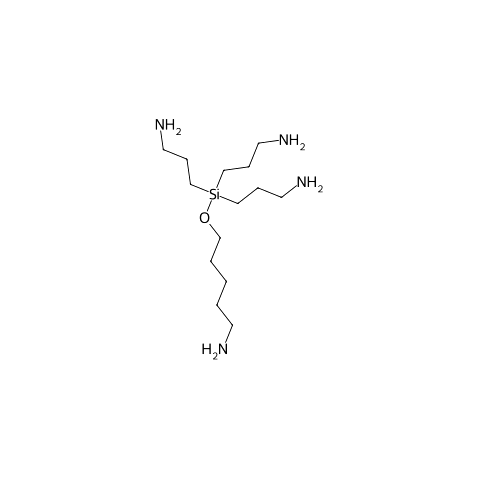 NCCCCCO[Si](CCCN)(CCCN)CCCN